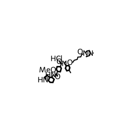 COc1cc(C(=O)N(C)c2ccc(C)cc2OCCCCCC(=O)N2CCN(C)CC2)ccc1C(=O)Nc1cccc2[nH]ccc12.Cl